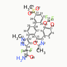 Cc1nc(-c2ccc3c(c2)OC(F)(F)O3)c(-c2cc(-c3cccc(S(C)(=O)=O)c3)ccc2-c2cc(C(F)(F)C(N)=O)nn2C)o1